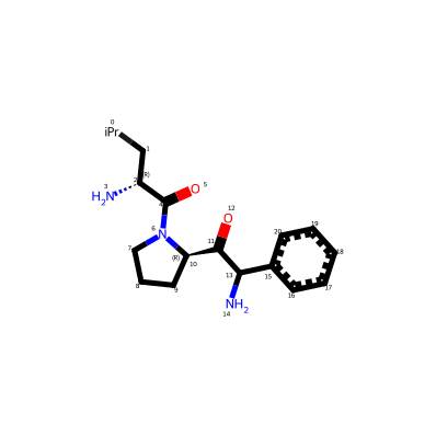 CC(C)C[C@@H](N)C(=O)N1CCC[C@@H]1C(=O)C(N)c1cc[c]cc1